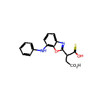 O=C(O)CC(C(O)=S)c1nc2cccc(Nc3ccccc3)c2o1